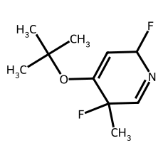 CC(C)(C)OC1=CC(F)N=CC1(C)F